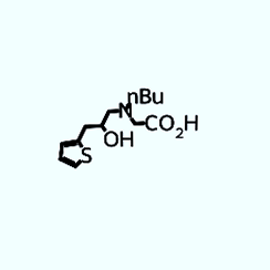 CCCCN(CC(=O)O)CC(O)Cc1cccs1